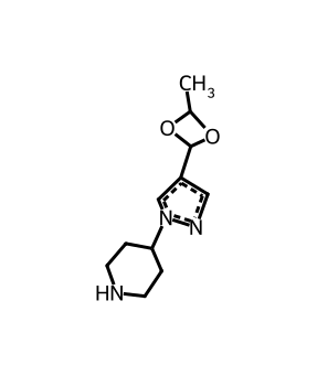 CC1OC(c2cnn(C3CCNCC3)c2)O1